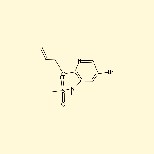 C=CCOc1ncc(Br)cc1NS(C)(=O)=O